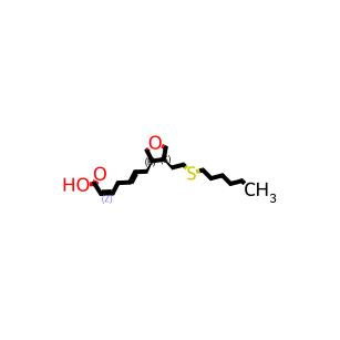 CCCCCCSCC[C@@H]1COC[C@@H]1CC=CC/C=C\C(=O)O